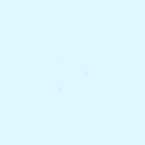 [CH3][Sn]([CH3])([CH3])[c]1ccc2nccc(-c3ccncc3)c2c1